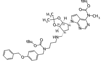 CN(C(=O)OC(C)(C)C)c1ncnc2c1ccn2[C@@H]1C[C@H](CNCCCN(Cc2ccc(OCc3ccccc3)cc2)C(=O)OC(C)(C)C)[C@H]2OC(C)(C)O[C@H]21